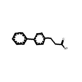 O=NC(=O)CCc1ccc(-c2ccccc2)cc1